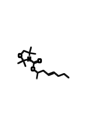 CCCC=CCC(C)OC(=O)N1C(C)(C)COC1(C)C